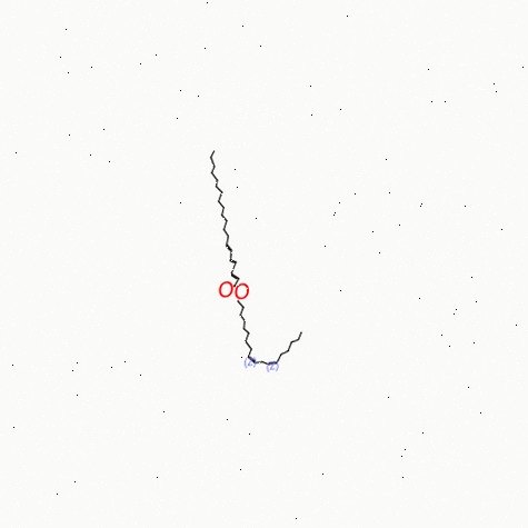 CCCCC/C=C\C/C=C\CCCCCCCCOC(=O)C=CC=CC=CCCCCCCCCCCCCC